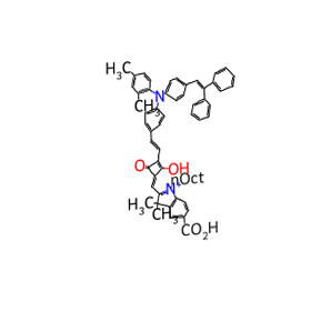 CCCCCCCC[N+]1=C(/C=C2/C(=O)C(/C=C/c3ccc(N(c4ccc(C=C(c5ccccc5)c5ccccc5)cc4)c4ccc(C)cc4C)cc3)=C2O)C(C)(C)c2cc(C(=O)O)ccc21